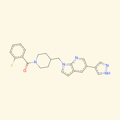 O=C(c1ccccc1F)N1CCC(Cn2ccc3cc(-c4cn[nH]c4)cnc32)CC1